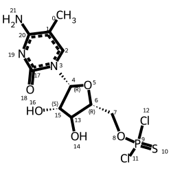 Cc1cn([C@@H]2O[C@H](COP(=S)(Cl)Cl)C(O)[C@@H]2O)c(=O)nc1N